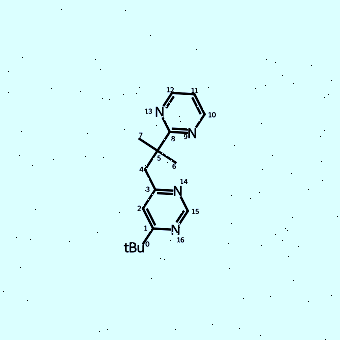 CC(C)(C)c1cc(CC(C)(C)c2ncccn2)ncn1